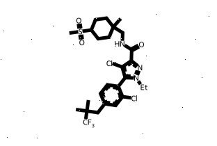 CCn1nc(C(=O)NCC2(C)CCC(S(C)(=O)=O)CC2)c(Cl)c1-c1ccc(CC(C)(C)C(F)(F)F)cc1Cl